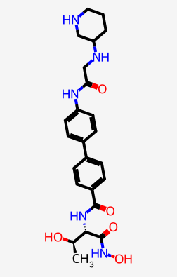 C[C@@H](O)[C@H](NC(=O)c1ccc(-c2ccc(NC(=O)CNC3CCCNC3)cc2)cc1)C(=O)NO